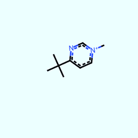 C[n+]1ccc(C(C)(C)C)nc1